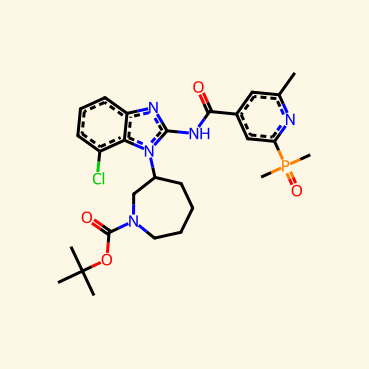 Cc1cc(C(=O)Nc2nc3cccc(Cl)c3n2C2CCCCN(C(=O)OC(C)(C)C)C2)cc(P(C)(C)=O)n1